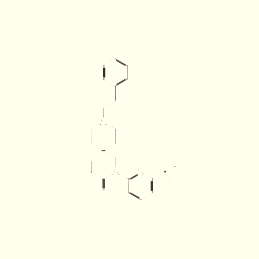 CC1OC2(CCN(CCc3ccccc3)CC2)CN(c2cccc(C(F)(F)F)n2)C1=O